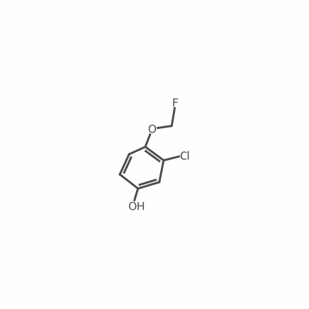 Oc1ccc(OCF)c(Cl)c1